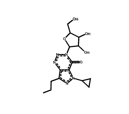 CCCc1nn(C2CC2)c2c(=O)n(C3OC(CO)C(O)C3O)nnc12